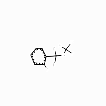 Fc1ccccc1C(F)(F)OC(F)(F)F